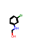 OCNc1cccc(Br)c1